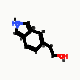 OCCc1ccc2c[nH]cc2c1